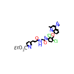 CCOC(=O)c1ccc(C=CC(=O)NCC(=O)N(C)c2ccc(Cl)c(COc3cccc4c(N(C)C)cc(C)nc34)c2Cl)cn1